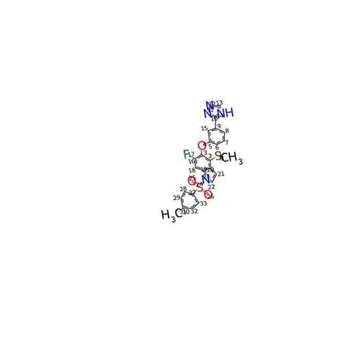 CSc1c(Oc2cccc(-c3nnc[nH]3)c2)c(F)cc2c1ccn2S(=O)(=O)c1ccc(C)cc1